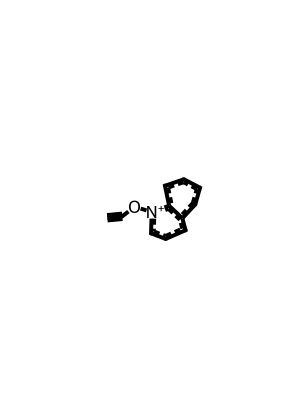 C#CO[n+]1cccc2ccccc21